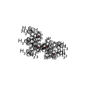 CC(C)(C)c1ccc2c(c1)B1c3cc(C(C)(C)C)ccc3N(c3ccccc3-c3cc(-c4ccc5c(c4)B4c6ccccc6N(c6ccc(C(C)(C)C)cc6-c6ccccn6)c6cc([Si](C)(C)C)cc(c64)N5c4ccc(C(C)(C)C)cc4-c4ccccn4)ccn3)c3cc([Si](C)(C)C)cc(c31)N2c1ccccc1-c1ccccn1